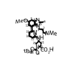 CNCCCn1c(C)nc2cc(OC)cc(-c3cccc(N[C@H]4C[C@@H](C(=O)O)N(C(=O)OC(C)(C)C)C4)n3)c21